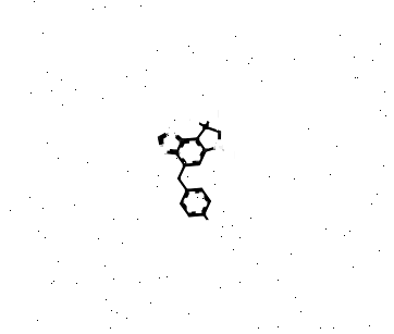 [2H]N1CC(C)(C)c2c1cc(Cc1ccc(F)cc1)c1scnc21